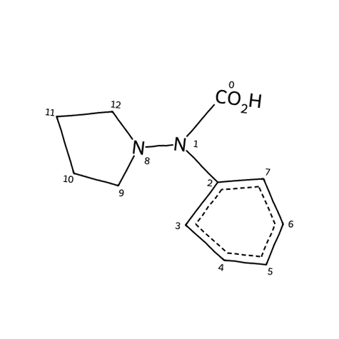 O=C(O)N(c1ccccc1)N1CCCC1